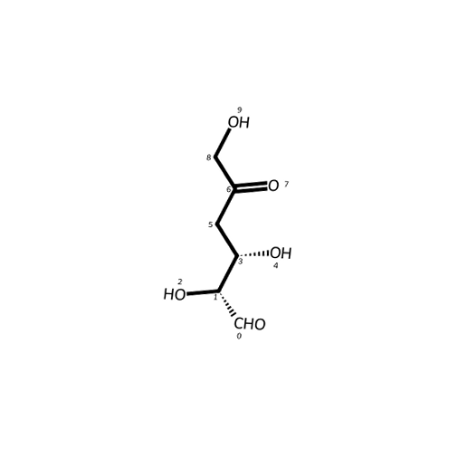 O=C[C@H](O)[C@@H](O)CC(=O)CO